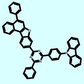 c1ccc(-c2nc(-c3ccc(-n4c5ccccc5c5ccccc54)cc3)nc(-c3ccc4c(c3)oc3cc(-c5ccccc5)c5ccccc5c34)n2)cc1